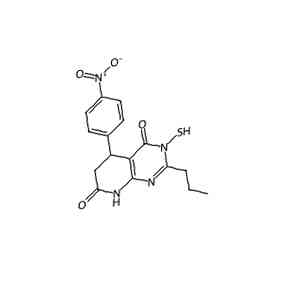 CCCc1nc2c(c(=O)n1S)C(c1ccc([N+](=O)[O-])cc1)CC(=O)N2